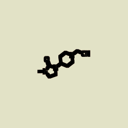 CN1CCN(C2CCN(CC#N)CC2)C1=O